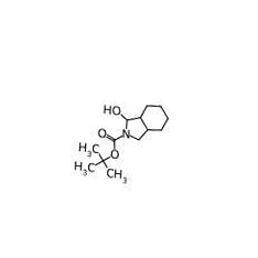 CC(C)(C)OC(=O)N1CC2CCCCC2C1O